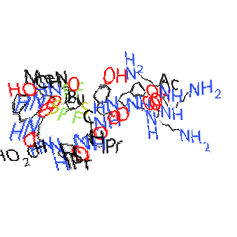 CC[C@H](C)[C@H](NC(=O)[C@@H](NC(=O)[C@H](Cc1ccccc1)NC1CSc2c(F)c(F)c(c(F)c2F)SCC(N[C@@H](Cc2ccc(O)cc2)C(=O)N[C@@H](Cc2ccc(O)cc2)C(=O)NCC(=O)N[C@@H](CCCCN)C(=O)N[C@@H](CCCCN)C(=O)N[C@@H](CCCCN)C(C)=O)C(=O)[C@H](CC(C)C)NC(=O)[C@H](CC(C)C)NN[C@@H](CC(=O)O)C1=O)[C@@H](C)O)C(=O)NC